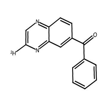 [2H]c1cnc2ccc(C(=O)c3ccccc3)cc2n1